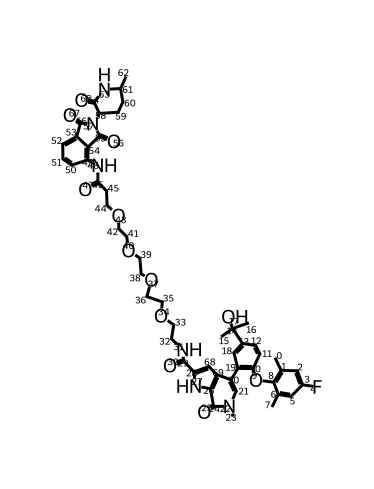 Cc1cc(F)cc(C)c1Oc1ccc(C(C)(C)O)cc1-c1cn(C)c(=O)c2[nH]c(C(=O)NCCOCCOCCOCCOCCC(=O)Nc3cccc4c3C(=O)N(C3CCC(C)NC3=O)C4=O)cc12